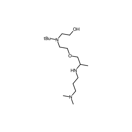 CC(COCCN(CCO)C(C)(C)C)NCCCN(C)C